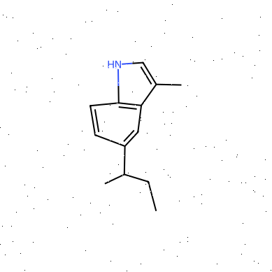 CCC(C)c1ccc2[nH]cc(C)c2c1